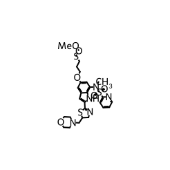 COOSCCCOc1cc(N(C)S(=O)(=O)c2ccccn2)c2[nH]c(C3=NCC(CN4CCOCC4)S3)cc2c1